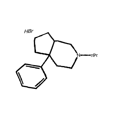 Br.CCCN1CCC2(c3ccccc3)CCCC2C1